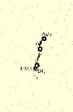 CCOC(=O)c1c(C)n(C)c2ccc(OCCCCOc3ccc(C(=O)C=Cc4cccc(OC)c4)cc3)cc12